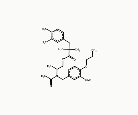 COc1cc(CN(C(N)=O)C(C)COC(=O)C(C)(C)Cc2ccc(C)c(C)c2)ccc1OCCN